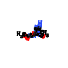 COCC(=O)N1CCS(=O)(=Nc2cc(N3CCOC[C@H]3C)nc(-c3ccnc4[nH]ccc34)n2)CC1